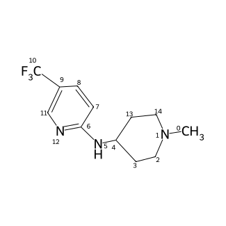 CN1CCC(Nc2ccc(C(F)(F)F)cn2)CC1